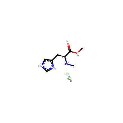 CN[C@@H](Cc1c[nH]cn1)C(=O)OC.Cl.Cl